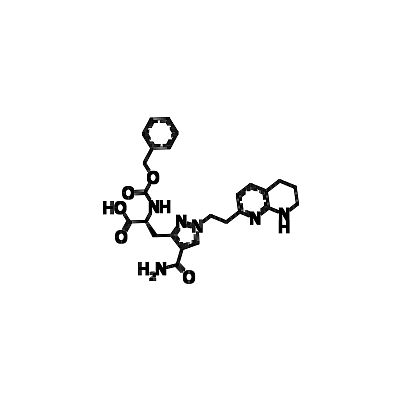 NC(=O)c1cn(CCc2ccc3c(n2)NCCC3)nc1C[C@H](NC(=O)OCc1ccccc1)C(=O)O